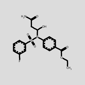 CCOC(=O)c1ccc(N(C(O)CC(N)=O)S(=O)(=O)c2cccc(F)c2)cc1